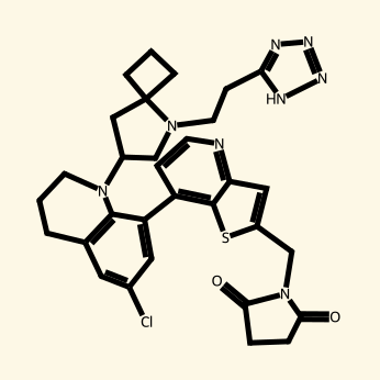 O=C1CCC(=O)N1Cc1cc2nccc(-c3cc(Cl)cc4c3N(C3CN(CCc5nnn[nH]5)C5(CCC5)C3)CCC4)c2s1